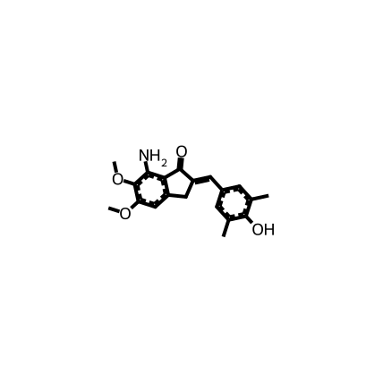 COc1cc2c(c(N)c1OC)C(=O)C(=Cc1cc(C)c(O)c(C)c1)C2